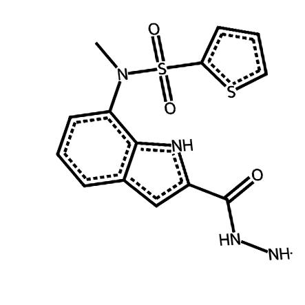 CN(c1cccc2cc(C(=O)N[NH])[nH]c12)S(=O)(=O)c1cccs1